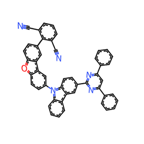 N#Cc1cccc(C#N)c1-c1ccc2oc3ccc(-n4c5ccccc5c5cc(-c6nc(-c7ccccc7)cc(-c7ccccc7)n6)ccc54)cc3c2c1